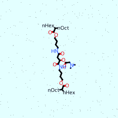 CCCCCCCCC(CCCCCC)C(=O)OCCCCNC(=O)CC(OC(=O)CN(C)C)C(=O)NCCCCOC(=O)C(CCCCCC)CCCCCCCC